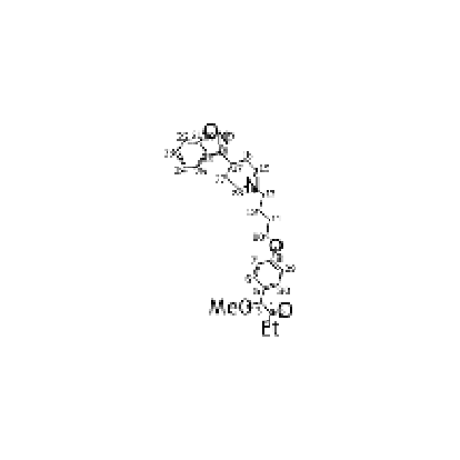 CCC(=O)C(OC)c1ccc(OCCCCN2CCC(c3noc4ccccc34)CC2)cc1